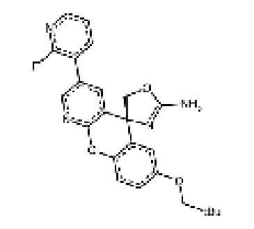 CC(C)(C)COc1ccc2c(c1)[C@]1(COC(N)=N1)c1cc(-c3cccnc3F)cnc1O2